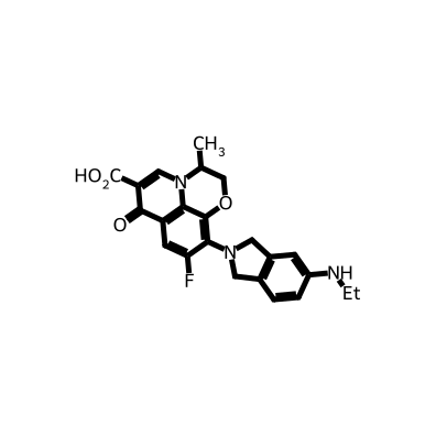 CCNc1ccc2c(c1)CN(c1c(F)cc3c(=O)c(C(=O)O)cn4c3c1OCC4C)C2